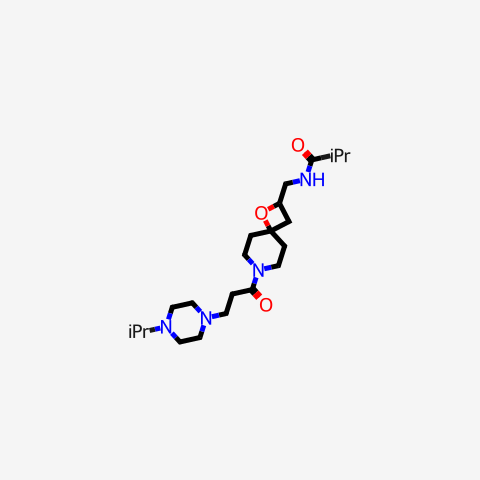 CC(C)C(=O)NCC1CC2(CCN(C(=O)CCN3CCN(C(C)C)CC3)CC2)O1